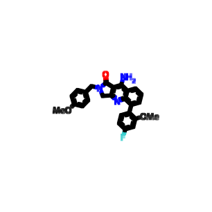 COc1ccc(CN2Cc3nc4c(-c5ccc(F)cc5OC)cccc4c(N)c3C2=O)cc1